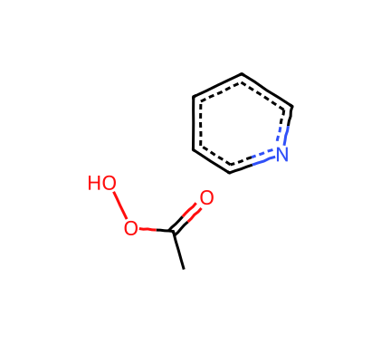 CC(=O)OO.c1ccncc1